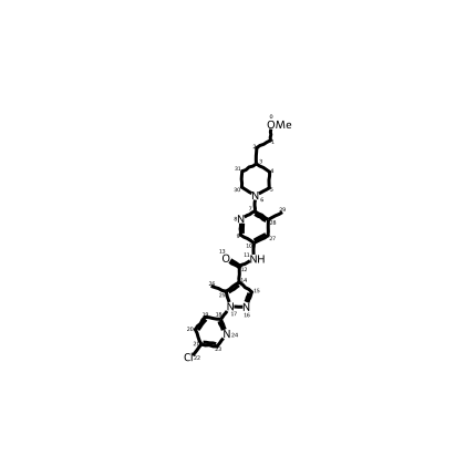 COCCC1CCN(c2ncc(NC(=O)c3cnn(-c4ccc(Cl)cn4)c3C)cc2C)CC1